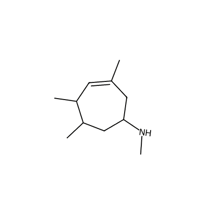 CNC1CC(C)=CC(C)C(C)C1